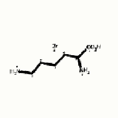 NCCCCC(N)C(=O)O.[Zr]